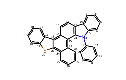 c1ccc(-n2c3ccccc3c3ccc4c5c6ccccc6sc5c5ccccc5c4c32)cc1